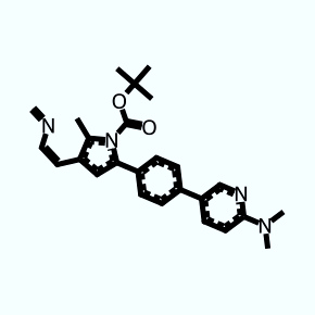 C=N/C=C\c1cc(-c2ccc(-c3ccc(N(C)C)nc3)cc2)n(C(=O)OC(C)(C)C)c1C